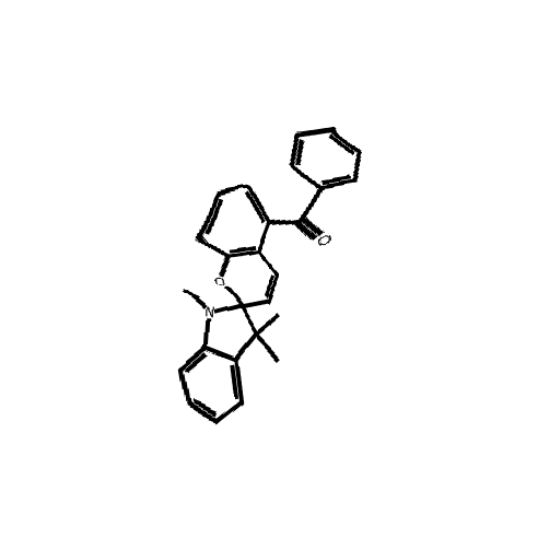 CN1c2ccccc2C(C)(C)C12C=Cc1c(cccc1C(=O)c1ccccc1)O2